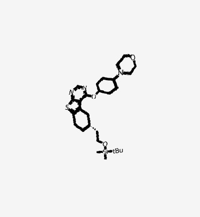 CC(C)(C)[Si](C)(C)OCC[C@@H]1CCc2sc3ncnc(OC4CCC(N5CCOCC5)CC4)c3c2C1